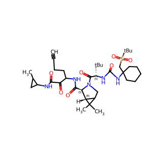 C#CCCC(NC(=O)[C@@H]1[C@@H]2C(CN1C(=O)[C@@H](NC(=O)NC1(CS(=O)(=O)C(C)(C)C)CCCCC1)C(C)(C)C)C2(C)C)C(=O)C(=O)NC1CC1C